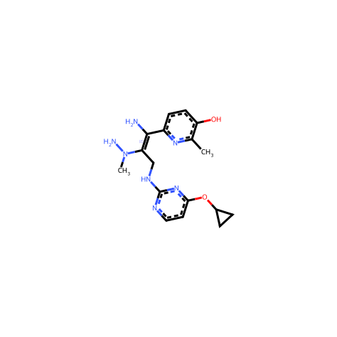 Cc1nc(/C(N)=C(\CNc2nccc(OC3CC3)n2)N(C)N)ccc1O